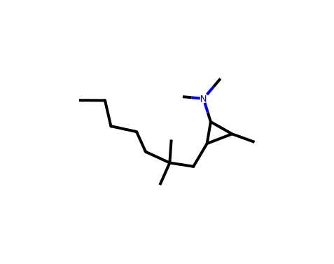 CCCCCC(C)(C)CC1C(C)C1N(C)C